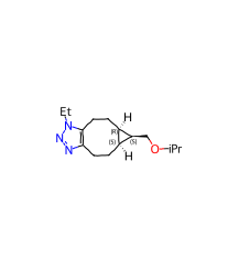 CCn1nnc2c1CC[C@@H]1[C@H](CC2)[C@@H]1COC(C)C